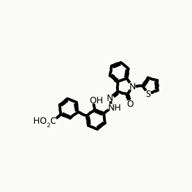 O=C(O)c1cccc(-c2cccc(N/N=C3\C(=O)N(c4cccs4)c4ccccc43)c2O)c1